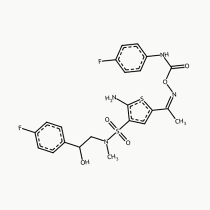 CC(=NOC(=O)Nc1ccc(F)cc1)c1cc(S(=O)(=O)N(C)CC(O)c2ccc(F)cc2)c(N)s1